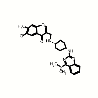 Cc1cc2occ(CN[C@H]3CC[C@@H](Nc4nc(N(C)C)c5ccccc5n4)CC3)c(=O)c2cc1Cl